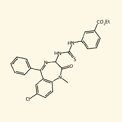 CCOC(=O)c1cccc(NC(=S)NC2N=C(c3ccccc3)c3cc(Cl)ccc3N(C)C2=O)c1